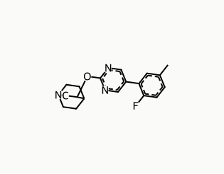 Cc1ccc(F)c(-c2cnc(OC3CN4CCC3CC4)nc2)c1